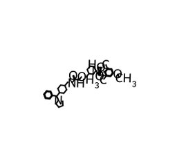 COc1cc(C)c(S(=O)(=O)N2CCCC(COCC(=O)NCC3CCC(C(c4ccccc4)N4CCCC4)CC3)C2)c(C)c1